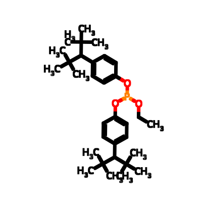 CCOP(Oc1ccc(C(C(C)(C)C)C(C)(C)C)cc1)Oc1ccc(C(C(C)(C)C)C(C)(C)C)cc1